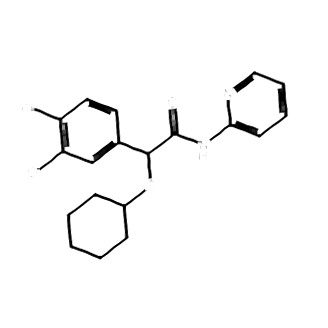 O=C(Nc1ccccn1)C(SC1CCCCC1)c1ccc(Cl)c(Cl)c1